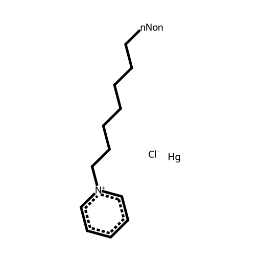 CCCCCCCCCCCCCCCC[n+]1ccccc1.[Cl-].[Hg]